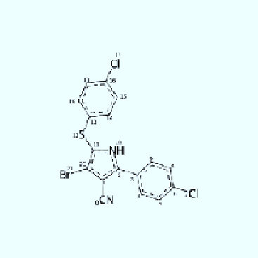 N#Cc1c(-c2ccc(Cl)cc2)[nH]c(Sc2ccc(Cl)cc2)c1Br